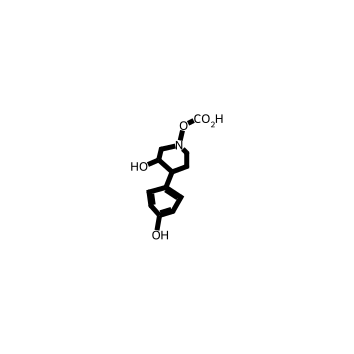 O=C(O)ON1CCC(c2ccc(O)cc2)C(O)C1